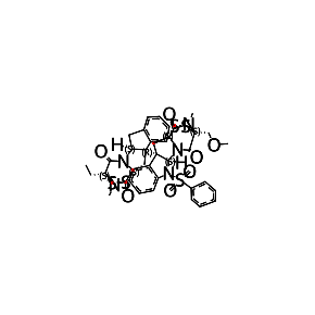 CC[C@]12SS[C@@]3(C[C@]4(C56C[C@@]78SS[C@@](COC)(C(=O)N7[C@H]5N(S(=O)(=O)c5ccccc5)c5ccccc56)N(C)C8=O)c5ccccc5C[C@@H]4N3C1=O)C(=O)N2C